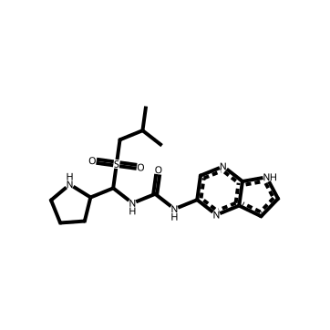 CC(C)CS(=O)(=O)C(NC(=O)Nc1cnc2[nH]ccc2n1)C1CCCN1